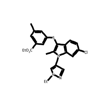 CCOC(=O)c1cc(C)cc(Sc2c(C)n(-c3cnn(CC)c3)c3cc(Cl)ccc23)c1